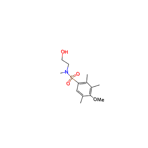 COc1c(C)cc(S(=O)(=O)N(C)CCO)c(C)c1C